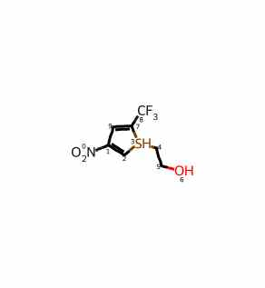 O=[N+]([O-])C1=C[SH](CCO)C(C(F)(F)F)=C1